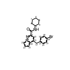 O=C(NC1CCCCC1)c1cc(Cc2ccc(Br)cc2)c2cccn2n1